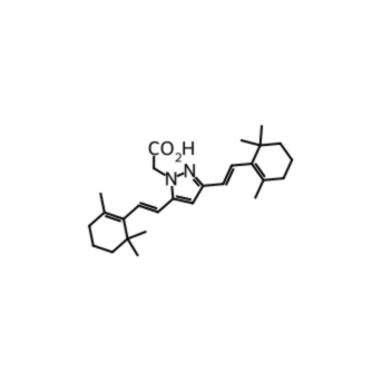 CC1=C(/C=C/c2cc(/C=C/C3=C(C)CCCC3(C)C)n(CC(=O)O)n2)C(C)(C)CCC1